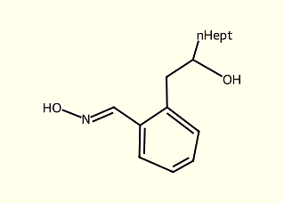 CCCCCCCC(O)Cc1ccccc1C=NO